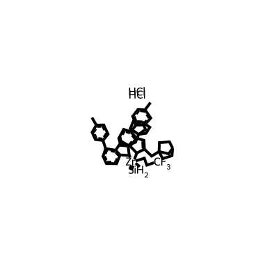 Cc1ccc(-c2cccc3c2C=C(CC24CCC(CC2)C4)[CH]3[Zr]([CH3])(=[SiH2])([CH2]CC(F)(F)F)[CH]2C(CC34CCC(CC3)C4)=Cc3c(-c4ccc(C)cc4)cccc32)cc1.Cl.Cl